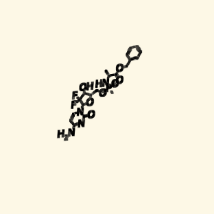 C[C@H](NP(C)(=O)OC[C@H]1O[C@@H](n2ccc(N)nc2=O)C(F)(F)C1O)C(=O)OCc1ccccc1